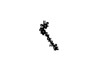 CC(C)(C)OC(=O)NCCOCCOCCOc1ccc2occ(C3CCC(=O)NC3=O)c2c1